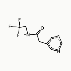 O=C(Cc1cncnc1)NCC(F)(F)F